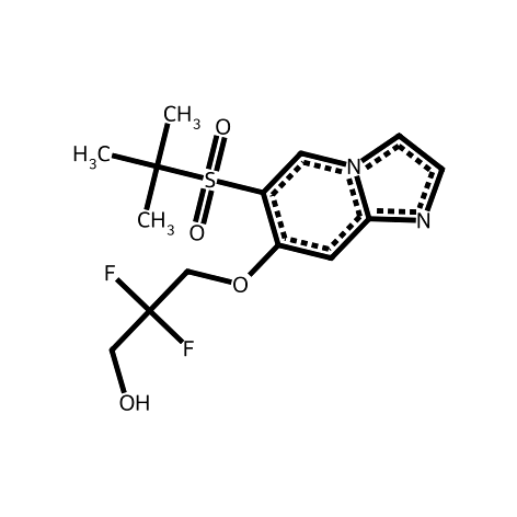 CC(C)(C)S(=O)(=O)c1cn2ccnc2cc1OCC(F)(F)CO